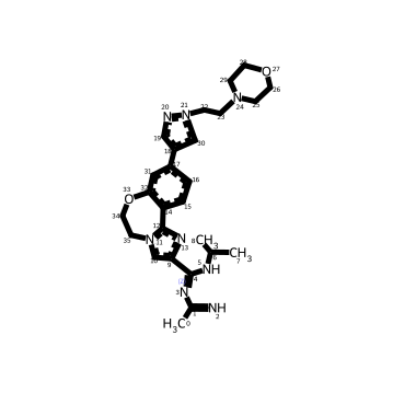 CC(=N)/N=C(\NC(C)C)c1cn2c(n1)-c1ccc(-c3cnn(CCN4CCOCC4)c3)cc1OCC2